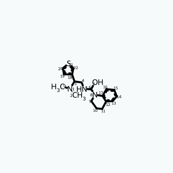 CN(C)C(CNC(O)N1CCCc2ccccc21)c1ccsc1